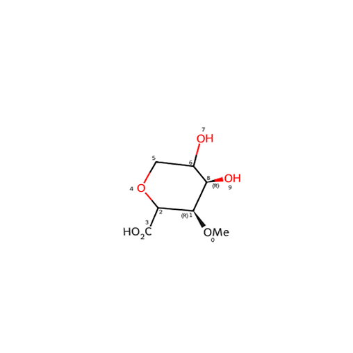 CO[C@H]1C(C(=O)O)OCC(O)[C@H]1O